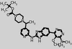 COc1c(-c2ccc3nc(Nc4cc(C(C)N5CCN(C(=O)OC(C)(C)C)CC5)ccn4)[nH]c3c2)ncnc1N(C)C